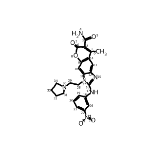 Cc1c(C(N)=O)c(=O)oc2cc3c(cc12)nc(Nc1cccc([N+](=O)[O-])c1)n3CCN1CCCC1